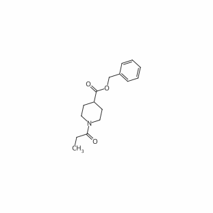 CCC(=O)N1CCC(C(=O)OCc2ccccc2)CC1